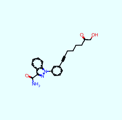 NC(=O)c1nn(-c2cccc(C#CCCCCC(=O)CO)c2)c2ccccc12